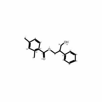 Cc1ccc(C(=O)OCC(CO)c2ccccc2)c(C)c1